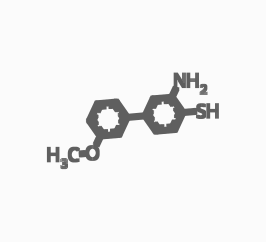 COc1cccc(-c2ccc(S)c(N)c2)c1